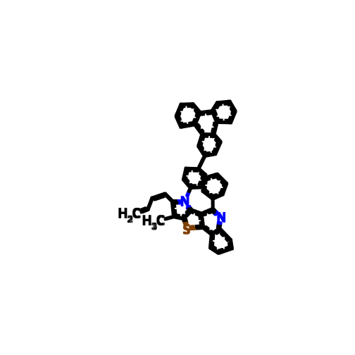 C=C/C=C\c1c(C)c2sc3c4ccccc4nc(-c4ccccc4)c3c2n1-c1ccc(-c2ccc3c4ccccc4c4ccccc4c3c2)cc1